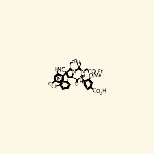 CCOC(=O)CNC(=O)N1[C@@H](CC(C)(C)C)[C@](C#N)(c2ccc(Cl)cc2F)[C@@H](c2cccc(Cl)c2F)[C@@H]1C(=O)Nc1ccc(C(=O)O)cc1OC